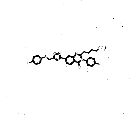 O=C(O)CCCCc1nc2cc(-c3cc(CSc4ccc(F)cc4)on3)ccc2c(=O)n1-c1ccc(F)cc1